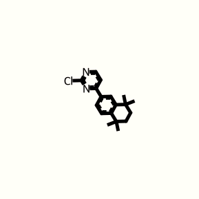 CC1(C)CCC(C)(C)c2cc(-c3ccnc(Cl)n3)ccc21